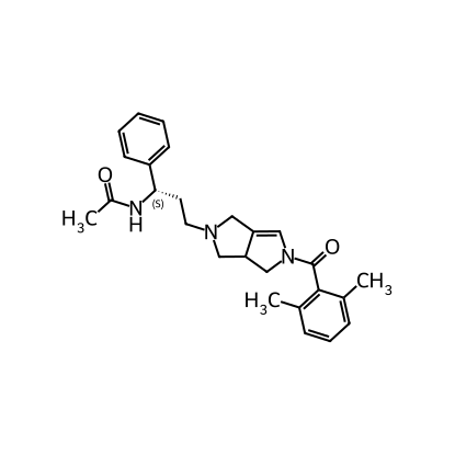 CC(=O)N[C@@H](CCN1CC2=CN(C(=O)c3c(C)cccc3C)CC2C1)c1ccccc1